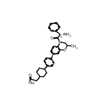 CC1CN(C(=O)[C@@H](N)c2ccccc2)c2ccc(-c3ccc(C4CCC(CC(=O)O)CC4)cc3)cc2O1